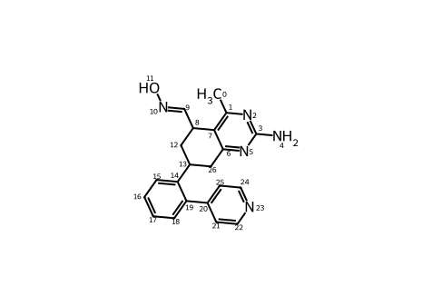 Cc1nc(N)nc2c1C(C=NO)CC(c1ccccc1-c1ccncc1)C2